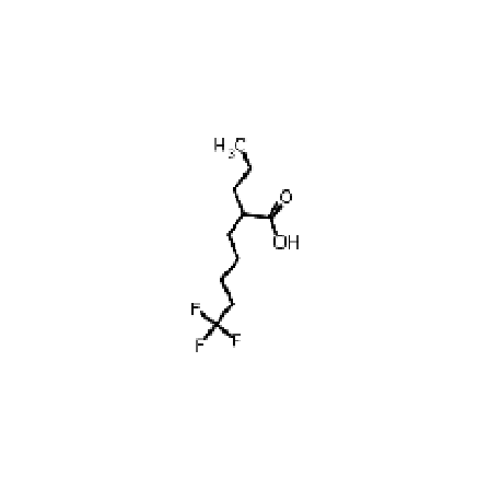 CCCC(CCCCC(F)(F)F)C(=O)O